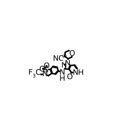 N#C[C@H]1CCOCC1n1nc(Nc2ccc3c(c2)CN(CC(F)(F)F)S3(=O)=O)c2c(=O)[nH]ccc21